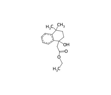 CCOC(=O)CC1(O)CCC(C)(C)c2ccccc21